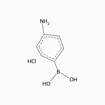 Cl.Nc1ccc(B(O)O)cc1